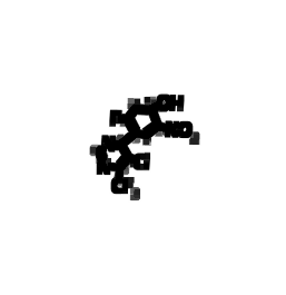 O=[N+]([O-])c1cc(-c2ncnc(C(F)(F)F)c2Cl)c(F)cc1O